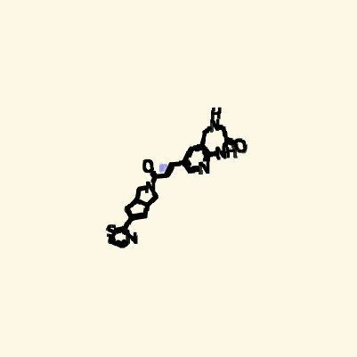 O=C1CNCc2cc(/C=C/C(=O)N3CC4C=C(c5nccs5)CC4C3)cnc2N1